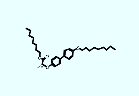 CCCCCCCCCSc1ccc(-c2ccc(O[C@H](C)C(=O)OCCCCCCCC)cc2)cc1